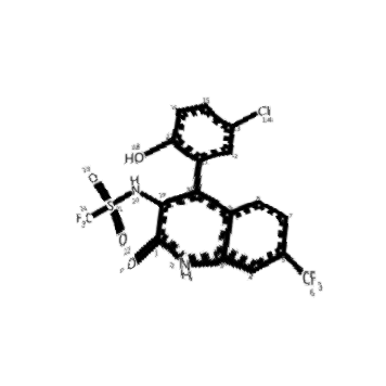 O=c1[nH]c2cc(C(F)(F)F)ccc2c(-c2cc(Cl)ccc2O)c1NS(=O)(=O)C(F)(F)F